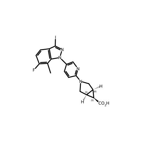 Cc1c(F)ccc2c(I)nn(-c3ccc(N4C[C@@H]5[C@H](C4)[C@@H]5C(=O)O)nc3)c12